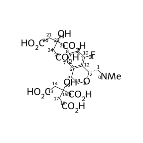 CNC[C@@H]1OCCc2cccc(F)c21.O=C(O)CC(O)(CC(=O)O)C(=O)O.O=C(O)CC(O)(CC(=O)O)C(=O)O